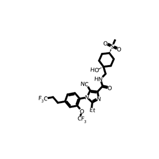 CCc1nc(C(=O)NC[C@]2(O)CC[C@@H](S(C)(=O)=O)CC2)c(C#N)n1-c1ccc(CCC(F)(F)F)cc1OC(F)(F)F